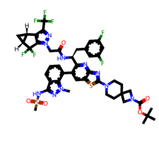 Cn1nc(NS(C)(=O)=O)c2cccc(-c3cc4sc(N5CCC6(CC5)CN(C(=O)OC(C)(C)C)C6)nc4nc3[C@H](Cc3cc(F)cc(F)c3)NC(=O)Cn3nc(C(F)(F)F)c4c3C(F)(F)[C@@H]3C[C@H]43)c21